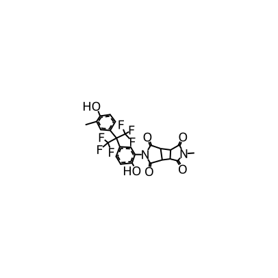 Cc1cc(C(c2ccc(O)c(N3C(=O)C4C5C(=O)N(C)C(=O)C5C4C3=O)c2)(C(F)(F)F)C(F)(F)F)ccc1O